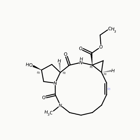 CCOC(=O)[C@@]12C[C@H]1/C=C\CCCCN(C)C(=O)N1C[C@@H](O)C[C@H]1C(=O)N2